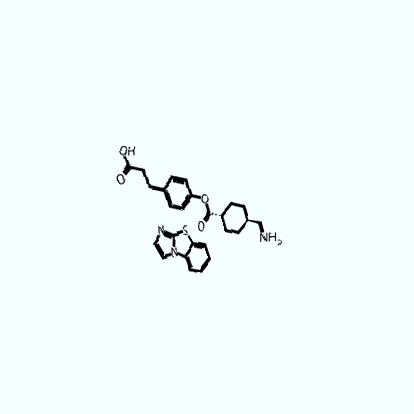 NC[C@H]1CC[C@H](C(=O)Oc2ccc(CCC(=O)O)cc2)CC1.c1ccc2c(c1)sc1nccn12